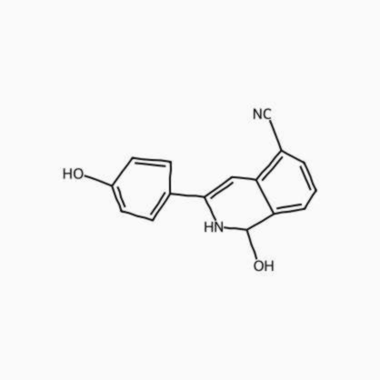 N#Cc1cccc2c1C=C(c1ccc(O)cc1)NC2O